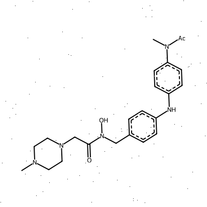 CC(=O)N(C)c1ccc(Nc2ccc(CN(O)C(=O)CN3CCN(C)CC3)cc2)cc1